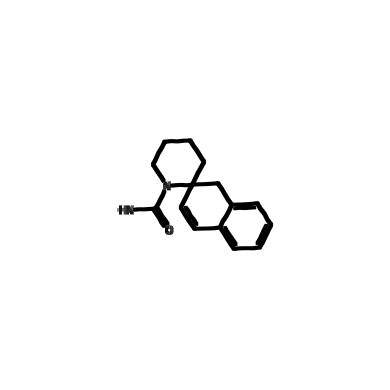 [NH]C(=O)N1CCCCC12C=Cc1ccccc1C2